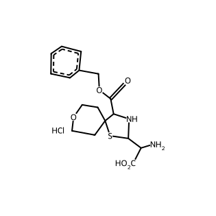 Cl.NC(C(=O)O)C1NC(C(=O)OCc2ccccc2)C2(CCOCC2)S1